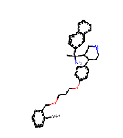 COc1ccccc1COCCCOc1ccc(C2CCNCC2C(C)(N)c2ccc3ccccc3c2)cc1